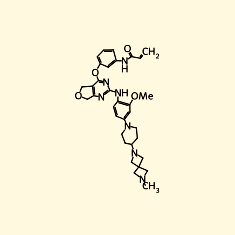 C=CC(=O)Nc1cccc(Oc2nc(Nc3ccc(N4CCC(N5CC6(CN(C)C6)C5)CC4)cc3OC)nc3c2COC3)c1